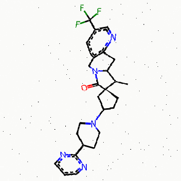 CC1C2Cc3ncc(C(F)(F)F)cc3CN2C(=O)[C@]12CCC(N1CCC(c3ncccn3)CC1)C2